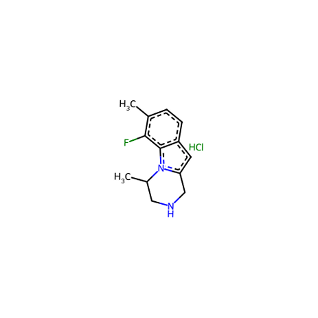 Cc1ccc2cc3n(c2c1F)C(C)CNC3.Cl